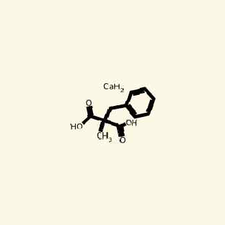 CC(Cc1ccccc1)(C(=O)O)C(=O)O.[CaH2]